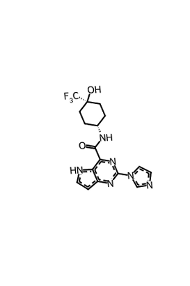 O=C(N[C@H]1CC[C@@](O)(C(F)(F)F)CC1)c1nc(-n2ccnc2)nc2cc[nH]c12